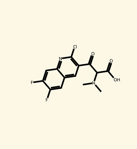 CN(C)C(C(=O)O)C(=O)c1cc2cc(F)c(F)cc2nc1Cl